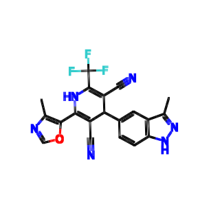 Cc1ncoc1C1=C(C#N)C(c2ccc3[nH]nc(C)c3c2)C(C#N)=C(C(F)(F)F)N1